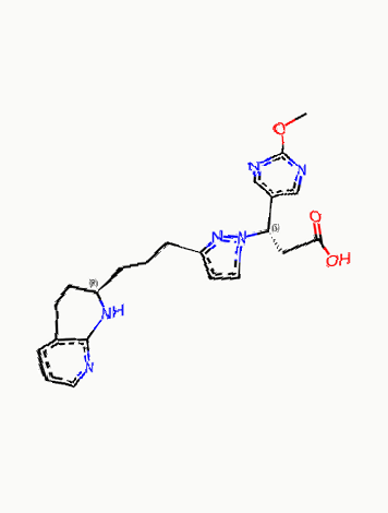 COc1ncc([C@H](CC(=O)O)n2ccc(CCC[C@@H]3CCc4cccnc4N3)n2)cn1